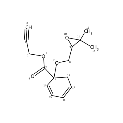 C#CCOC(=O)C1(OCC2OC2(C)C)C=CC=CC1